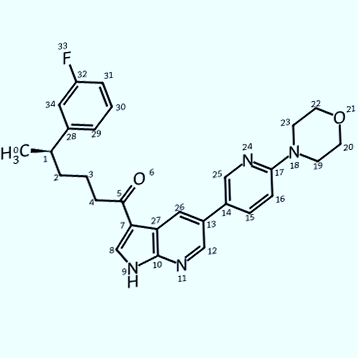 C[C@H](CCCC(=O)c1c[nH]c2ncc(-c3ccc(N4CCOCC4)nc3)cc12)c1cccc(F)c1